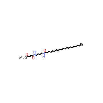 CCC=CCC=CCC=CCC=CCC=CCC=CCCC(=O)NCCCCNC(=O)C=CC(=O)OC